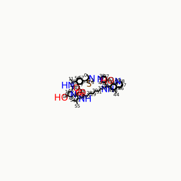 Cc1ncsc1-c1ccc([C@H](C)NC(=O)[C@@H]2C[C@@H](O)CN2C(=O)[C@@H](NC(=O)CCCCCCNC(c2cccnc2)c2cc(C)c3cccnc3c2O)C(C)C)cc1